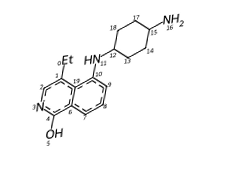 CCc1cnc(O)c2cccc(NC3CCC(N)CC3)c12